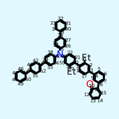 CCc1cc(-c2cccc3c2oc2ccccc23)ccc1-c1ccc(N(c2ccc(-c3ccccc3)cc2)c2ccc(-c3ccc(-c4ccccc4)cc3)cc2)cc1CC